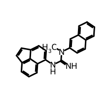 CN(C(=N)Nc1ccc2c3c(cccc13)C=C2)c1ccc2ccccc2c1